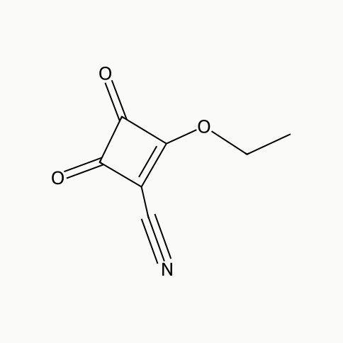 CCOc1c(C#N)c(=O)c1=O